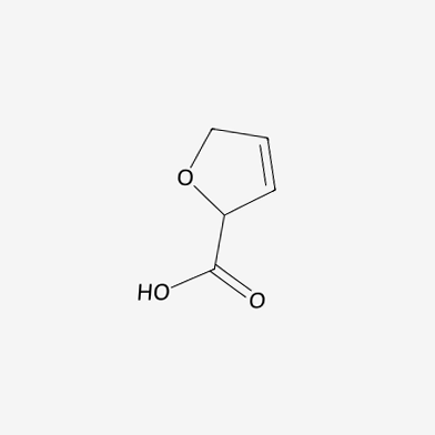 O=C(O)C1C=CCO1